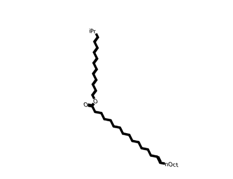 CCCCCCCCC=CCCCCCCCCCCCCCC(=O)OCCCCCCCCCCCCC(C)C